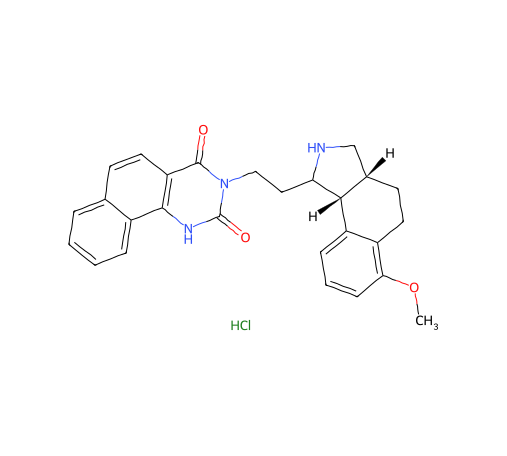 COc1cccc2c1CC[C@H]1CNC(CCn3c(=O)[nH]c4c(ccc5ccccc54)c3=O)[C@@H]21.Cl